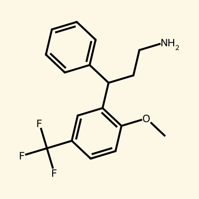 COc1ccc(C(F)(F)F)cc1C(CCN)c1ccccc1